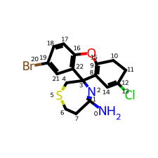 NC1=NC2(CSCC1)C1=C(CCC(Cl)=C1)Oc1ccc(Br)cc12